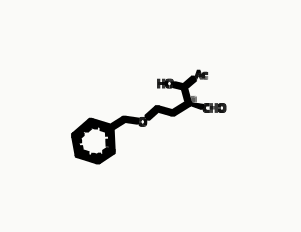 CC(=O)C(O)[C@@H](C=O)CCOCc1ccccc1